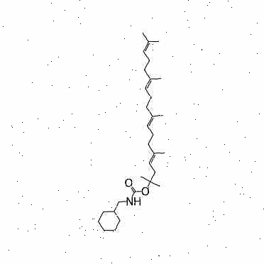 CC(C)=CCC/C(C)=C/CC/C(C)=C/CC/C(C)=C/CC(C)(C)OC(=O)NCC1CCCCC1